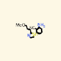 COCCCC1=NCC[SH]1c1cccc(N)c1C#N